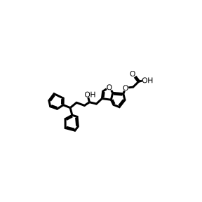 O=C(O)COc1cccc2c(CC(O)CCC(c3ccccc3)c3ccccc3)coc12